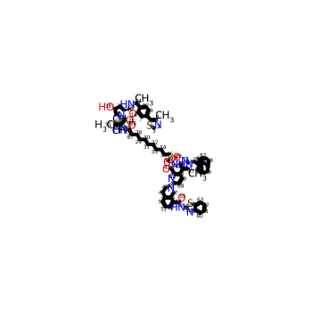 Cc1ncsc1-c1ccc([C@H](C)NC(=O)[C@@H]2C[C@@H](O)CN2C(=O)[C@@H](NC(=O)CCCCCCCCCCS(=O)(=O)NC(=O)c2nc(N3CCc4cccc(C(=O)Nc5nc6ccccc6s5)c4C3)ccc2-c2cnn(CC34CC5CC(CC(C5)C3)C4)c2C)C(C)(C)C)cc1